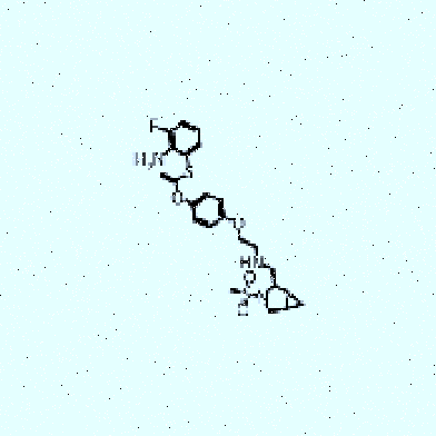 C=C(Oc1ccc(OCCNCC2C3CC3CN2S(C)(=O)=O)cc1)Sc1cccc(F)c1N